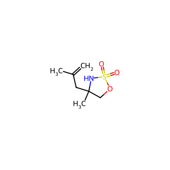 C=C(C)CC1(C)COS(=O)(=O)N1